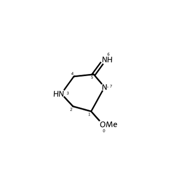 COC1CNCC(=N)[N]1